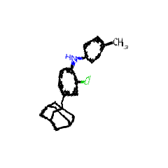 Cc1ccc(Nc2ccc(C34CC5CC(CC(C5)C3)C4)cc2Cl)cc1